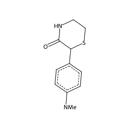 CNc1ccc(C2SCCNC2=O)cc1